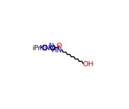 CC(C)N1CCN(c2ccc(C(=O)NCCCCCCCCCCCCO)cn2)CC1